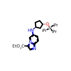 CCOC(=O)c1cnc2ccc(N[C@H]3CC[C@H](O[Si](C(C)C)(C(C)C)C(C)C)C3)cn12